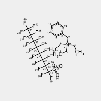 CC[N+](CC)(CC)Cc1ccccc1.O=S(=O)([O-])C(F)(F)C(F)(F)C(F)(F)C(F)(F)C(F)(F)C(F)(F)C(F)(F)C(F)(F)F